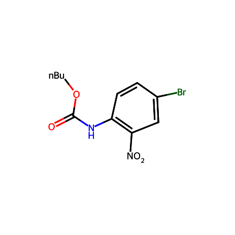 CCCCOC(=O)Nc1ccc(Br)cc1[N+](=O)[O-]